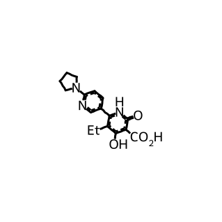 CCc1c(-c2ccc(N3CCCC3)nc2)[nH]c(=O)c(C(=O)O)c1O